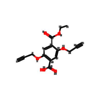 C#CCOc1cc(C(=O)OCC)c(OCC#C)cc1C(=O)O